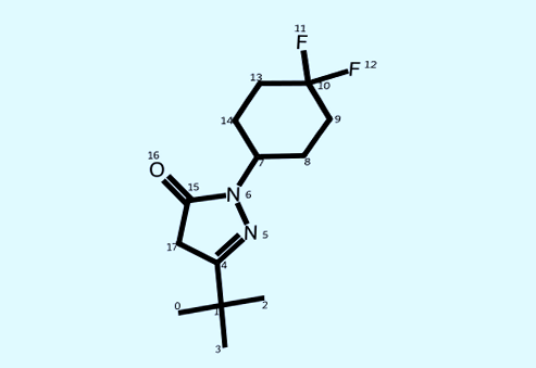 CC(C)(C)C1=NN(C2CCC(F)(F)CC2)C(=O)C1